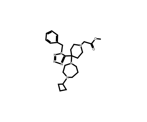 COC(=O)CN1CCC(c2nnnn2Cc2ccccc2)(N2CCCN(C3CCC3)CC2)CC1